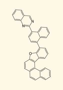 c1ccc2nc(-c3ccc(-c4cccc5c4oc4ccc6ccc7ccccc7c6c45)c4ccccc34)ncc2c1